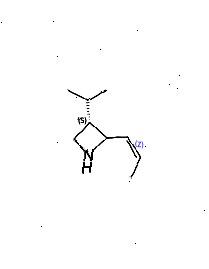 C/C=C\C1NC[C@@H]1C(C)C